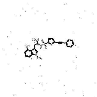 Cn1cc(C[C@H](NS(=O)(=O)c2ccc(C#Cc3ccccc3)s2)C(=O)O)c2c(O)cccc21